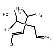 C=CC[N+](C=CC)(C(C)C)C(C)C.[OH-]